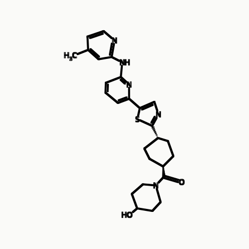 Cc1ccnc(Nc2cccc(-c3cnc([C@H]4CC[C@H](C(=O)N5CCC(O)CC5)CC4)s3)n2)c1